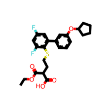 CCOC(=O)C(CCSc1c(F)cc(F)cc1-c1cccc(OC2CCCC2)c1)C(=O)O